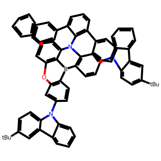 CC(C)(C)c1ccc2c(c1)c1ccccc1n2-c1ccc2c(c1)Oc1cc(-c3ccccc3)cc3c1B2c1ccc(-n2c4ccccc4c4cc(C(C)(C)C)ccc42)cc1N3c1c(-c2ccccc2)cccc1-c1ccccc1